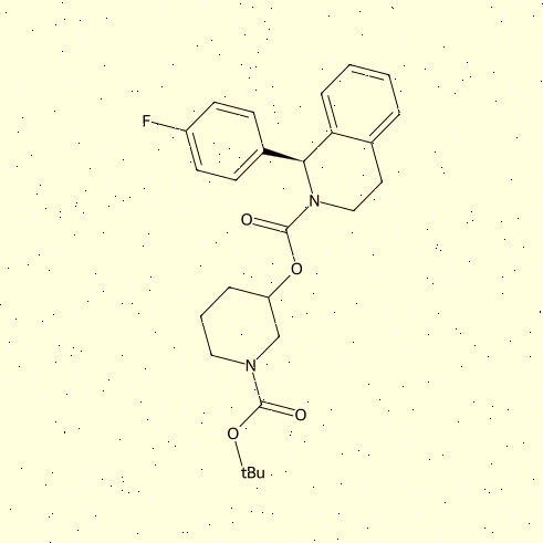 CC(C)(C)OC(=O)N1CCCC(OC(=O)N2CCc3ccccc3[C@@H]2c2ccc(F)cc2)C1